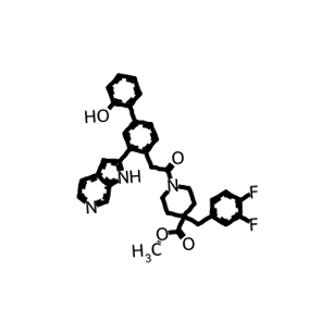 COC(=O)C1(Cc2ccc(F)c(F)c2)CCN(C(=O)Cc2ccc(-c3ccccc3O)cc2-c2cc3ccncc3[nH]2)CC1